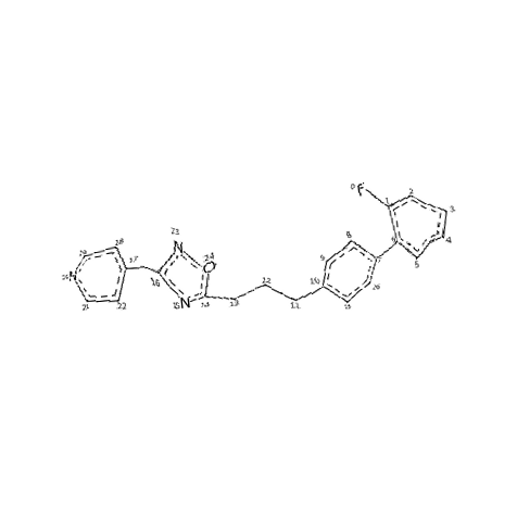 Fc1ccccc1-c1ccc(CCCc2nc(-c3ccncc3)no2)cc1